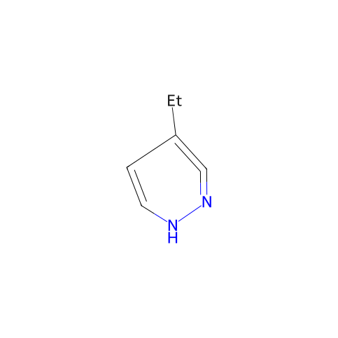 CCC1=C=NNC=C1